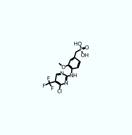 COc1cc(CP(=O)(O)O)ccc1Nc1ncc(C(F)(F)F)c(Cl)n1